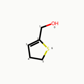 OCC1=CCCS1